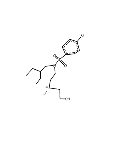 CCC(CC)CN(CC[C@@H](C)CCO)S(=O)(=O)c1ccc(Cl)cc1